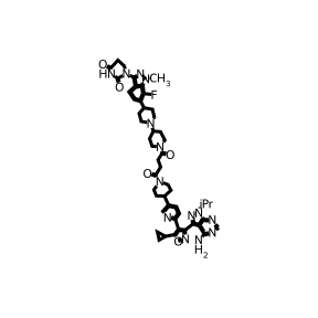 CC(C)n1nc(-c2noc(C3CC3)c2-c2ccc(C3CCN(C(=O)CCC(=O)N4CCC(N5CCC(c6ccc7c(N8CCC(=O)NC8=O)nn(C)c7c6F)CC5)CC4)CC3)cn2)c2c(N)ncnc21